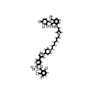 CC(Oc1cc(-c2cnn(C3CCN(CCCCCCCN4CC(CNc5cccc6c5C(=O)N(C5CCC(=O)NC5=O)C6=O)C4)CC3)c2)cnc1N)c1c(Cl)ccc(F)c1Cl